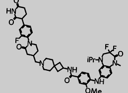 COc1cc(C(=O)NC2CC3(CCN(CC4CCN(c5ccc(C6CCC(=O)NC6=O)cc5F)C(=O)C4)CC3)C2)ccc1Nc1ccc2c(c1)N(C(C)C)CC(F)(F)C(=O)N2C